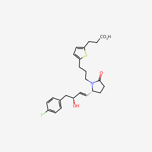 O=C(O)CCc1ccc(CCCN2C(=O)CC[C@@H]2/C=C/[C@@H](O)Cc2ccc(F)cc2)s1